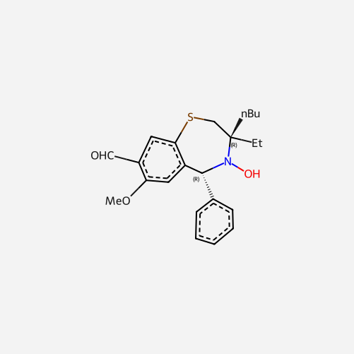 CCCC[C@]1(CC)CSc2cc(C=O)c(OC)cc2[C@@H](c2ccccc2)N1O